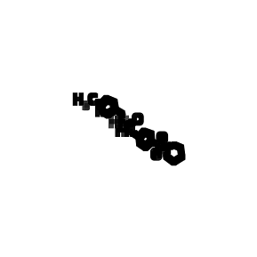 Cc1ccc(CNC(=O)Nc2ccc(S(=O)(=O)N3CCCCC3)cc2)cn1